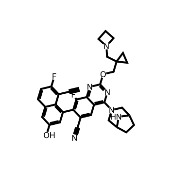 C#Cc1c(F)ccc2cc(O)cc(-c3c(C#N)cc4c(N5CC6CCC(C5)N6)nc(OCC5(CN6CCC6)CC5)nc4c3F)c12